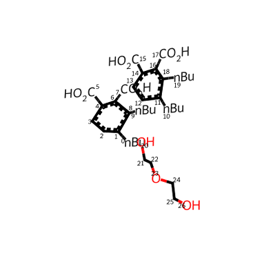 CCCCc1ccc(C(=O)O)c(C(=O)O)c1CCCC.CCCCc1ccc(C(=O)O)c(C(=O)O)c1CCCC.OCCOCCO